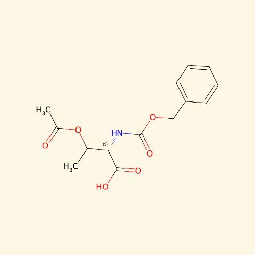 CC(=O)OC(C)[C@H](NC(=O)OCc1ccccc1)C(=O)O